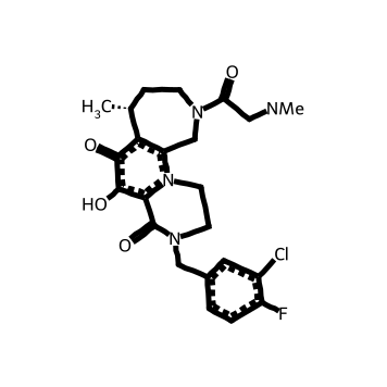 CNCC(=O)N1CC[C@@H](C)c2c(n3c(c(O)c2=O)C(=O)N(Cc2ccc(F)c(Cl)c2)CC3)C1